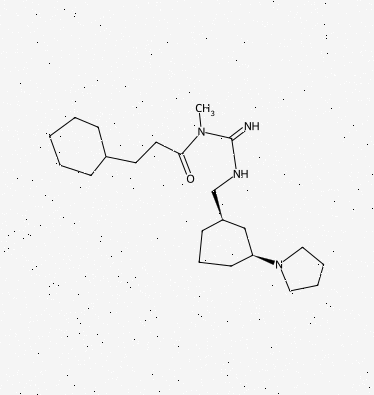 CN(C(=N)NC[C@@H]1CCC[C@H](N2CCCC2)C1)C(=O)CCC1CCCCC1